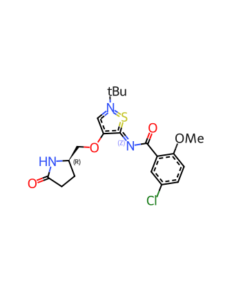 COc1ccc(Cl)cc1C(=O)/N=c1\sn(C(C)(C)C)cc1OC[C@H]1CCC(=O)N1